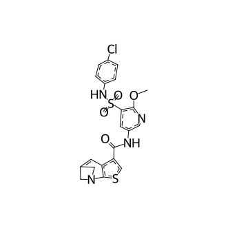 COc1ncc(NC(=O)c2csc3c2C=C2CN3C2)cc1S(=O)(=O)Nc1ccc(Cl)cc1